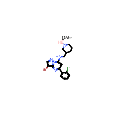 COBN1CCCC(CNc2cc(-c3ccccc3Cl)nc3c(Br)cnn23)C1